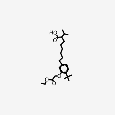 CCOC(=O)COc1cc(CCCCCCC(C(=O)O)C(C)C)ccc1C(C)(C)C